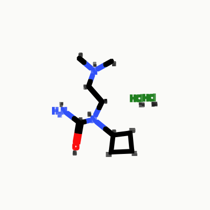 CN(C)CCN(C(N)=O)C1CCC1.Cl.Cl